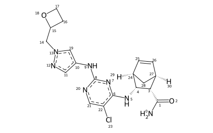 NC(=O)[C@@H]1[C@H](Nc2nc(Nc3cnn(CC4CCO4)c3)ncc2Cl)[C@H]2C=C[C@@H]1C2